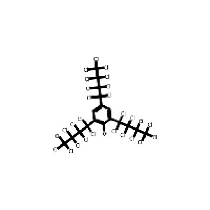 [O]c1c(C(Cl)(Cl)C(Cl)(Cl)C(Cl)(Cl)C(Cl)(Cl)Cl)cc(C(Cl)(Cl)C(Cl)(Cl)C(Cl)(Cl)C(Cl)(Cl)Cl)cc1C(Cl)(Cl)C(Cl)(Cl)C(Cl)(Cl)C(Cl)(Cl)Cl